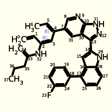 C=C/C(=C\C(=C/C)c1cnc2[nH]nc(-c3cc4c(-c5cccc(F)c5)cccc4[nH]3)c2c1)NC(=C)CCC